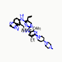 C=Cc1cnc(Nc2cc(CC)c(N3CCC(N4CCN(C)CC4)CC3)nc2OC)nc1Nc1ccc2nccnc2c1CNC